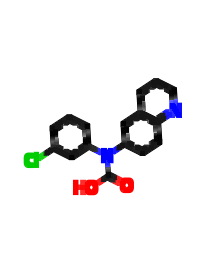 O=C(O)N(c1cccc(Cl)c1)c1ccc2ncccc2c1